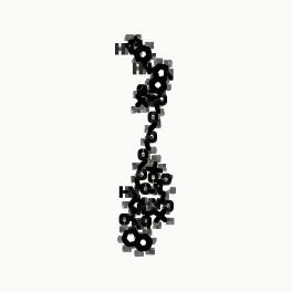 C[C@H](C(=O)N[C@@H](C(=O)N1C[C@H](NC(=O)COCCOCCOCCOCCOc2cc3nccc(Nc4ccc5c(c4)NCS5)c3cc2S(=O)(=O)C(C)(C)C)C[C@@H]1C(=O)N[C@@H]1CCCc2ccccc21)C(C)(C)C)N(C)C(=O)OC(C)(C)C